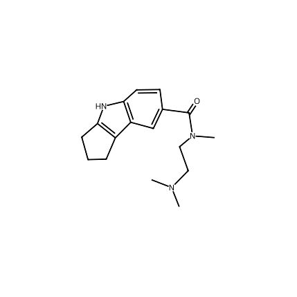 CN(C)CCN(C)C(=O)c1ccc2[nH]c3c(c2c1)CCC3